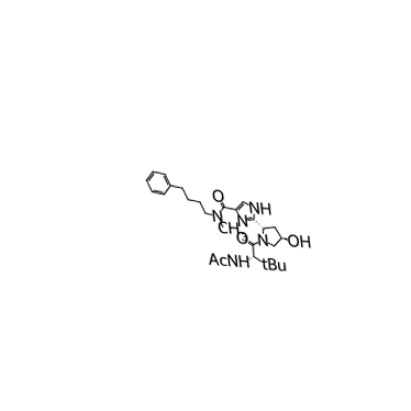 CC(=O)N[C@H](C(=O)N1C[C@H](O)C[C@H]1c1nc(C(=O)N(C)CCCCc2ccccc2)c[nH]1)C(C)(C)C